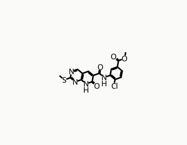 COC(=O)c1ccc(Cl)c(NC(=O)c2cc3cnc(SC)nc3[nH]c2=O)c1